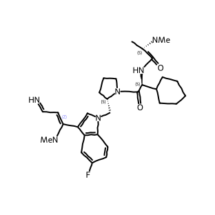 CN/C(=C\C=N)c1cn(C[C@@H]2CCCN2C(=O)[C@@H](NC(=O)[C@H](C)NC)C2CCCCC2)c2ccc(F)cc12